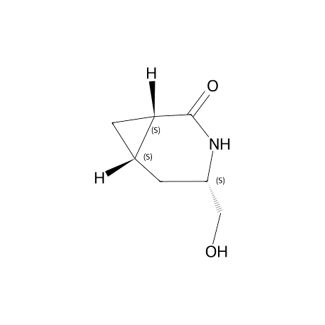 O=C1N[C@H](CO)C[C@@H]2C[C@H]12